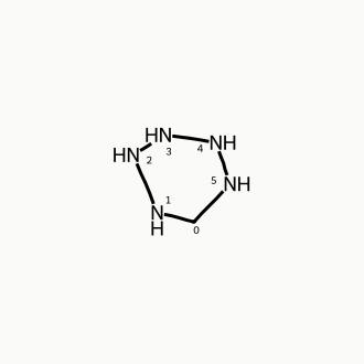 C1NNNNN1